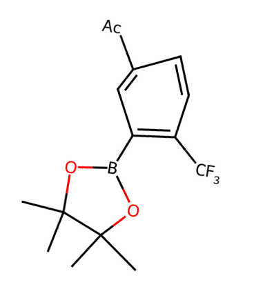 CC(=O)c1ccc(C(F)(F)F)c(B2OC(C)(C)C(C)(C)O2)c1